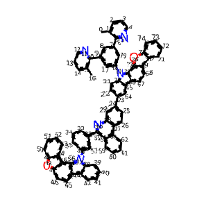 Cc1cccnc1-c1cc(-c2ncccc2C)cc(-n2c3ccc(-c4ccc5c(c4)nc(-c4cccc(-n6c7ccccc7c7ccc8oc9ccccc9c8c76)c4)c4ccccc45)cc3c3ccc4c5ccccc5oc4c32)c1